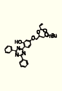 C=CC(=O)OC(COCCCC)COc1ccc(-c2nc(-c3ccccc3)nc(-c3ccccc3)n2)c(O)c1